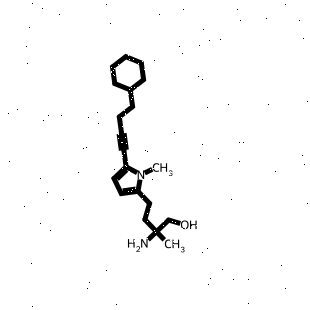 Cn1c(C#CCCC2CCCCC2)ccc1CCC(C)(N)CO